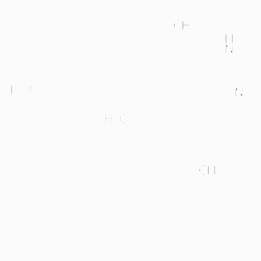 BCCC=CCC(c1ccccc1C)c1ccccc1C.CCc1cnc[nH]1